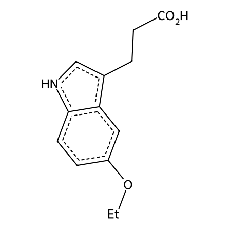 CCOc1ccc2[nH]cc(CCC(=O)O)c2c1